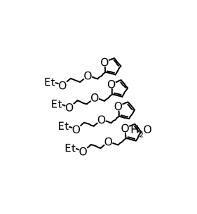 CCOCCOCc1ccco1.CCOCCOCc1ccco1.CCOCCOCc1ccco1.CCOCCOCc1ccco1.O